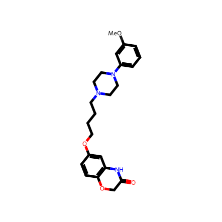 COc1cccc(N2CCN(CCCCOc3ccc4c(c3)NC(=O)CO4)CC2)c1